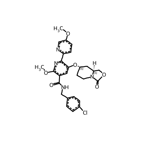 COc1ccc(-c2nc(OC)c(C(=O)NCc3ccc(Cl)cc3)cc2O[C@H]2CCN3C(=O)OC[C@@H]3C2)nc1